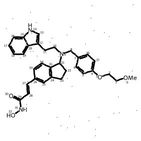 COCCOc1ccc(CN(CCc2c[nH]c3ccccc23)C2CCc3cc(C=CC(=O)NO)ccc32)cc1